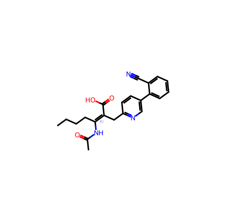 CCCC/C(NC(C)=O)=C(/Cc1ccc(-c2ccccc2C#N)cn1)C(=O)O